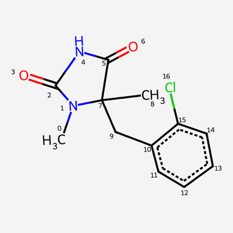 CN1C(=O)NC(=O)C1(C)Cc1ccccc1Cl